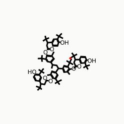 Cc1cc(C(C)CC(c2cc(C)c(OC(=O)CC(c3ccc(O)c(C(C)(C)C)c3)C(C)(C)C)c(C(C)(C)C)c2)c2cc(C)c(OC(=O)CC(c3ccc(O)c(C(C)(C)C)c3)C(C)(C)C)c(C(C)(C)C)c2)cc(C(C)(C)C)c1OC(=O)CC(c1ccc(O)c(C(C)(C)C)c1)C(C)(C)C